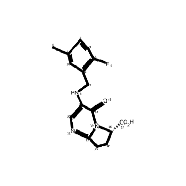 Cc1ccc(F)c(CNc2cnc3n(c2=O)[C@H](C(=O)O)CC3)c1